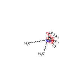 CCCCCCCCCCCCCCN(C(=O)CCCCCCCCCCC)[C@@H]1O[C@H](COC(C)=O)[C@@H](OC(C)=O)[C@H](OC(C)=O)[C@H]1NC(=O)OCc1ccccc1